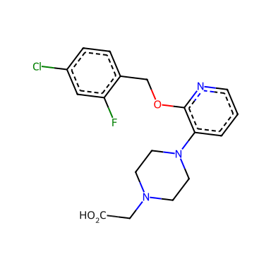 O=C(O)CN1CCN(c2cccnc2OCc2ccc(Cl)cc2F)CC1